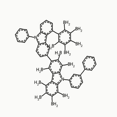 Bc1c(B)c(B)c(-c2cccc3c2c2cc(-c4c(B)c(B)c5c(c4B)c4c(B)c(B)c(B)c(B)c4n5-c4cccc(-c5ccccc5)c4)ccc2n3-c2ccccc2)c(B)c1B